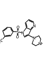 O=S(=O)(c1cccc(C(F)(F)F)c1)n1cc(N2CCNCC2)c2ncccc21